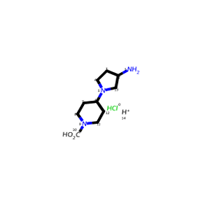 Cl.NC1CCN(C2CCN(C(=O)O)CC2)C1.[H+]